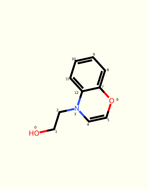 OCCN1C=COc2ccccc21